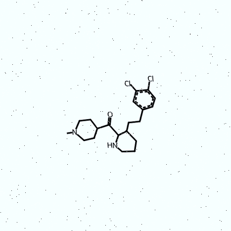 CN1CCC(C(=O)C2NCCCC2CCc2ccc(Cl)c(Cl)c2)CC1